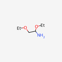 CCOCC(N)OCC